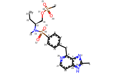 Cc1nc2c(Cc3ccc(S(=O)(=O)N(C)[C@H](COS(C)(=O)=O)CC(C)C)cc3)nccc2[nH]1